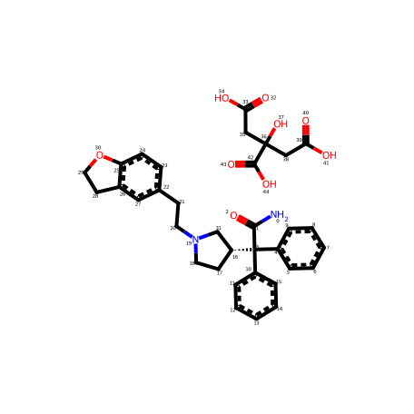 NC(=O)C(c1ccccc1)(c1ccccc1)[C@@H]1CCN(CCc2ccc3c(c2)CCO3)C1.O=C(O)CC(O)(CC(=O)O)C(=O)O